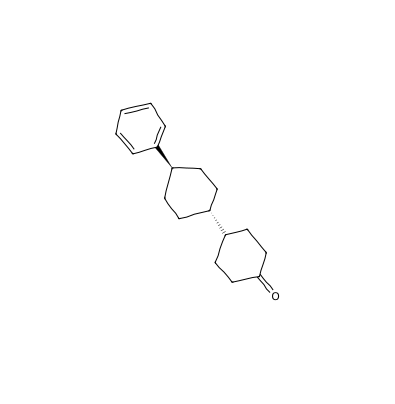 O=C1CCC([C@H]2CC[C@H](c3ccccc3)CC2)CC1